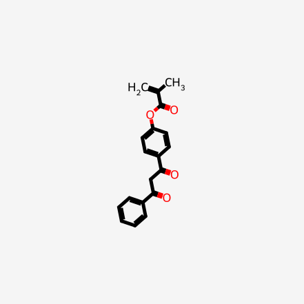 C=C(C)C(=O)Oc1ccc(C(=O)CC(=O)c2ccccc2)cc1